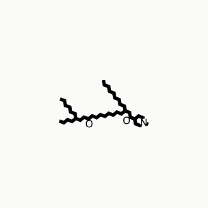 CCCCCCCCCC(CCCCCCCCC(=O)CCC(CCCC)CCCCCC)CC(=O)C1CCN(C)CC1